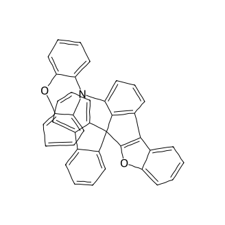 c1ccc2c(c1)Oc1ccccc1N2c1cccc2c1C1(c3ccccc3-c3ccccc31)c1oc3ccccc3c1-2